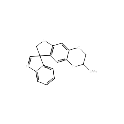 CSC1COc2cc3c(cc2O1)C1(C=Nc2ccccc21)CO3